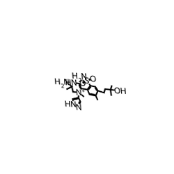 Cc1cc(C2=CNC(C)(N)C[N+]2(C)c2cn[nH]c2)c(S(N)(=O)=O)cc1CCC(C)(C)O